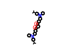 CC(C)c1ccc(N(c2ccccc2)c2ccc3cc4c(cc3c2)oc2c4ccc3c4cc5ccc(N(c6ccccc6)c6ccc(C(C)C)cc6)cc5cc4oc32)cc1